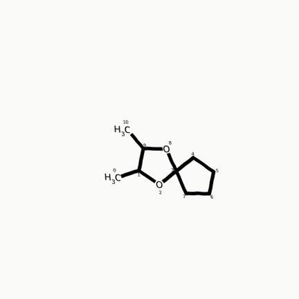 C[C]1OC2(CCCC2)OC1C